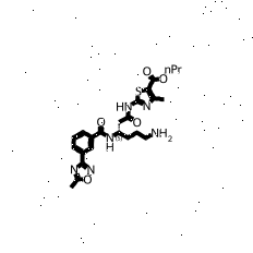 CCCOC(=O)c1sc(NC(=O)C[C@H](CCCN)NC(=O)c2cccc(-c3noc(C)n3)c2)nc1C